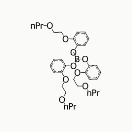 CCCOCCOc1ccccc1OB(Oc1ccccc1OCCOCCC)Oc1ccccc1OCCOCCC